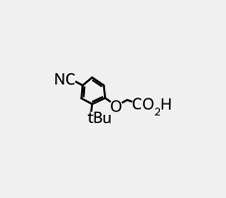 CC(C)(C)c1cc(C#N)ccc1OCC(=O)O